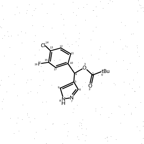 CC(C)(C)C(=O)OC(c1cn[nH]c1)c1ccc(Cl)c(F)c1